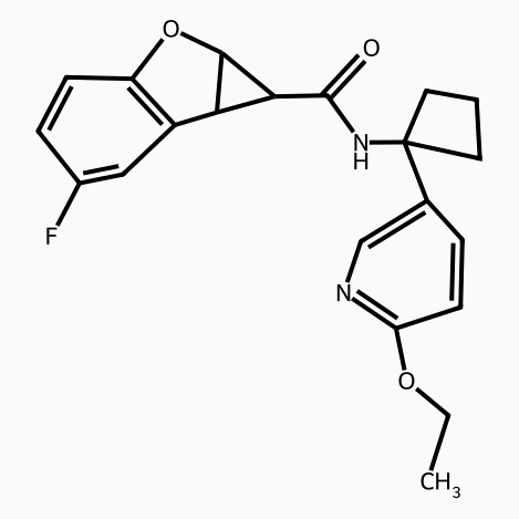 CCOc1ccc(C2(NC(=O)C3C4Oc5ccc(F)cc5C43)CCC2)cn1